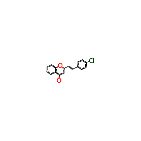 O=c1cc(/C=C/c2ccc(Cl)cc2)oc2ccccc12